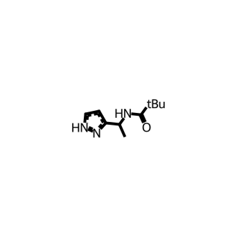 CC(NC(=O)C(C)(C)C)c1cc[nH]n1